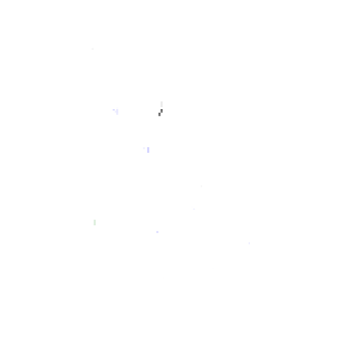 COc1cccc(F)c1-c1nc2c(cc1Cl)c1c(c(=O)n2-c2c(C(C)C)ncnc2C(C)C)NC(=O)[C@H]2CN(C(=O)OC(C)(C)C)CCN12